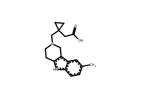 Cc1ccc2[nH]c3c(c2c1)CN(CC1(CC(=O)O)CC1)CC3